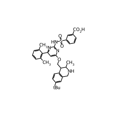 Cc1cccc(C)c1-c1cc(OCC2c3ccc(C(C)(C)C)cc3CNC2C)nc(NS(=O)(=O)c2cccc(C(=O)O)c2)n1